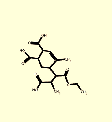 CCOC(=O)C(C(C)C(=O)O)C1CC(C(=O)O)C(C(=O)O)C=C1C